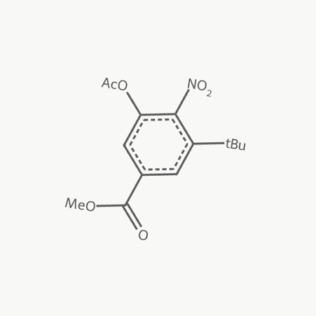 COC(=O)c1cc(OC(C)=O)c([N+](=O)[O-])c(C(C)(C)C)c1